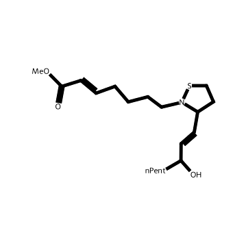 CCCCCC(O)/C=C/C1CCSN1CCCCC=CC(=O)OC